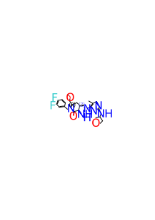 COC[C@H]1C/C(=C/Nc2nc(NC3CCOC3)ncc2C)C(=N)C(=O)N1Cc1ccc(F)c(F)c1